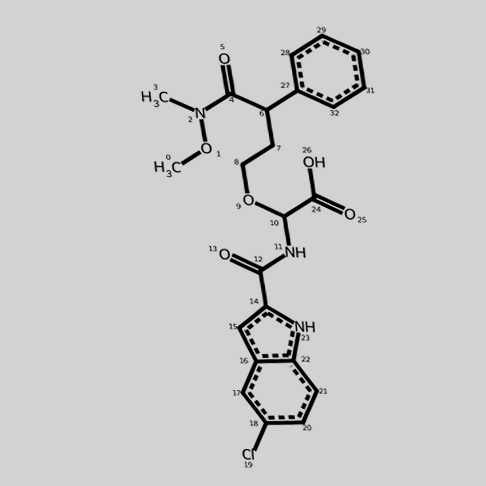 CON(C)C(=O)C(CCOC(NC(=O)c1cc2cc(Cl)ccc2[nH]1)C(=O)O)c1ccccc1